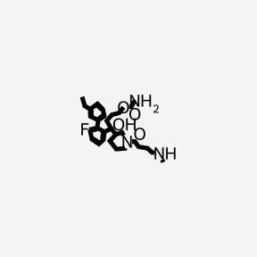 CCc1cccc(-c2c(F)cccc2[C@](O)(CCCOC(N)=O)C2CCCN(C(=O)CCCNC)C2)c1